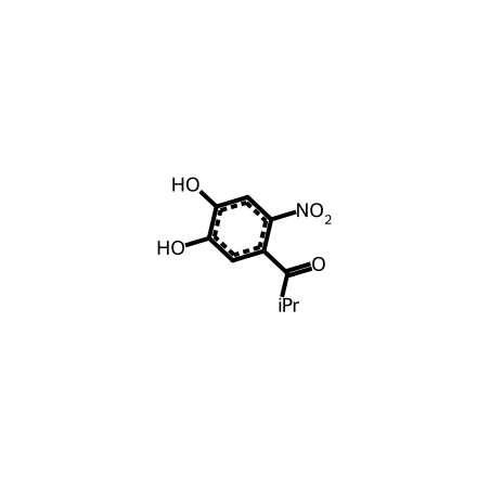 CC(C)C(=O)c1cc(O)c(O)cc1[N+](=O)[O-]